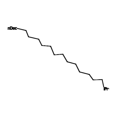 CCCCCCCCCCCCCCCCCCCCCCC[C](C)C